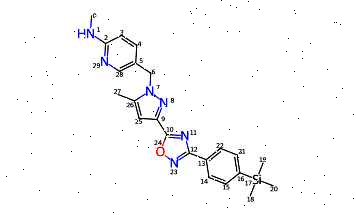 CNc1ccc(Cn2nc(-c3nc(-c4ccc([Si](C)(C)C)cc4)no3)cc2C)cn1